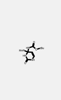 CNC1(NC(=O)OC(C)(C)C)C=CNC(=O)N1